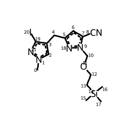 Cn1cc(Cc2cc(C#N)n(COCC[Si](C)(C)C)n2)c(I)n1